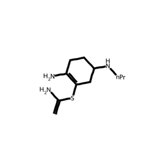 C=C(N)SC1=C(N)CCC(NCCC)C1